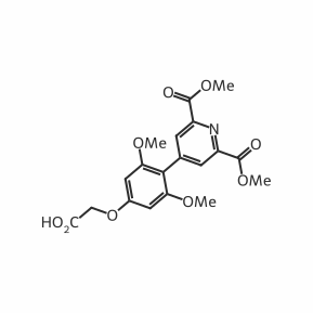 COC(=O)c1cc(-c2c(OC)cc(OCC(=O)O)cc2OC)cc(C(=O)OC)n1